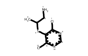 CC(CN)Sc1c(Cl)ncnc1Cl